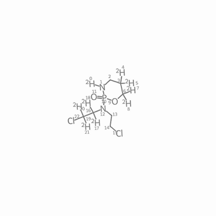 [2H]N1CC([2H])([2H])C([2H])([2H])OP1(=O)N(CCCl)C([2H])([2H])C([2H])([2H])Cl